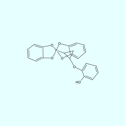 Oc1ccccc1OC1CC1P12(Oc3ccccc3O1)Oc1ccccc1O2